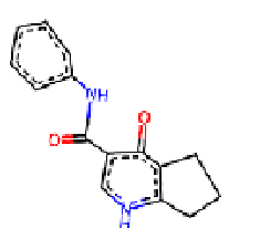 O=C(Nc1ccccc1)c1c[nH]c2c(c1=O)CCC2